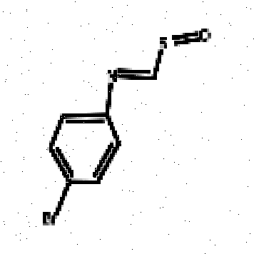 O=[S+]C=Nc1ccc(Br)cc1